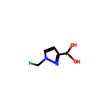 OB(O)c1ccn(CF)n1